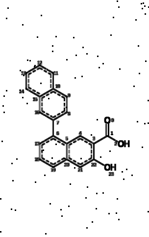 O=C(O)c1cc2c(-c3ccc4ccccc4c3)cccc2cc1O